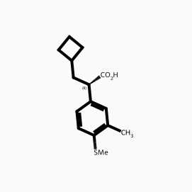 CSc1ccc([C@@H](CC2CCC2)C(=O)O)cc1C